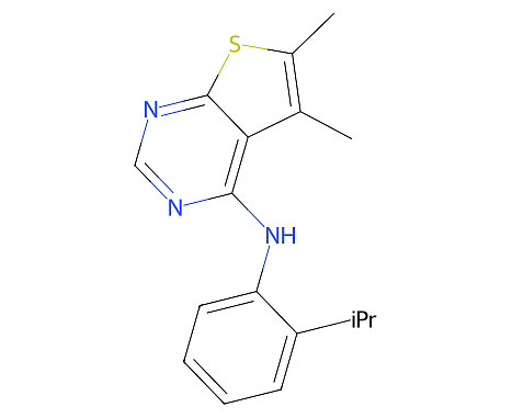 Cc1sc2ncnc(Nc3ccccc3C(C)C)c2c1C